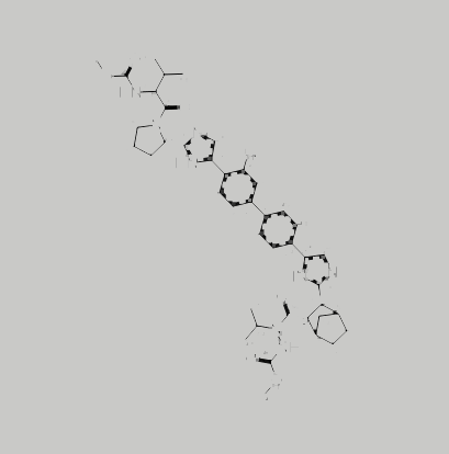 COC(=O)NC(C(=O)N1CCC[C@H]1c1ncc(-c2ccc(-c3ccc(-c4cnc([C@H]5C6CCC(C6)[C@@H]5C(=O)N(NC(=O)OC)C(C)C)[nH]4)cc3)cc2Cl)[nH]1)C(C)C